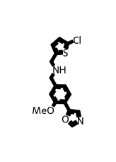 COc1cc(CNCc2ccc(Cl)s2)ccc1-c1cnco1